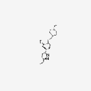 CCc1ccc(-c2ccc(CCC3CCC(CC)CC3)c(F)c2)nn1